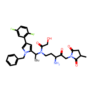 CC1CC(=O)N(CC(=O)C(N)CCN(C(=O)CO)C(c2cc(-c3cc(F)ccc3F)cn2Cc2ccccc2)C(C)(C)C)C1=O